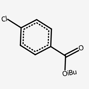 CC(C)COC(=O)c1ccc(Cl)cc1